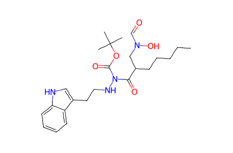 CCCCCC(CN(O)C=O)C(=O)N(NCCc1c[nH]c2ccccc12)C(=O)OC(C)(C)C